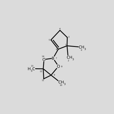 CC1(C)CCC=C1B1OC2(C)CC2(C)O1